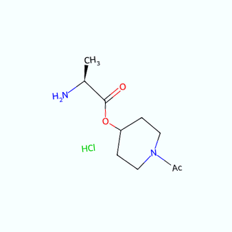 CC(=O)N1CCC(OC(=O)[C@H](C)N)CC1.Cl